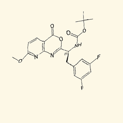 COc1ccc2c(=O)oc([C@H](Cc3cc(F)cc(F)c3)NC(=O)OC(C)(C)C)nc2n1